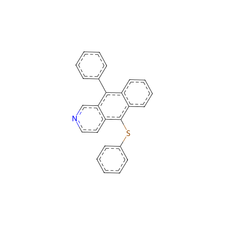 c1ccc(Sc2c3ccccc3c(-c3ccccc3)c3cnccc23)cc1